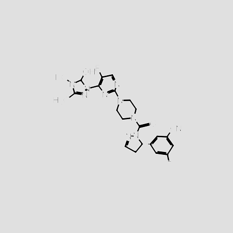 CC1=NN(c2nc(N3CCN(C(=O)N4N=CC[C@H]4c4cc(F)cc(C#N)c4)CC3)ncc2F)C(O)N1C